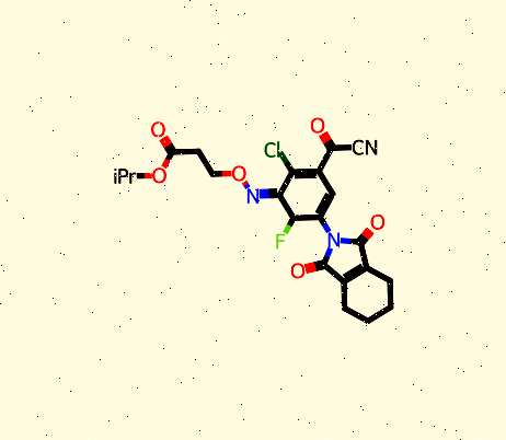 CC(C)OC(=O)CCON=C1C(Cl)=C(C(=O)C#N)C=C(N2C(=O)C3=C(CCCC3)C2=O)C1F